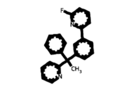 CC(c1ccccc1)(c1cccc(-c2cccc(F)n2)c1)c1ccccn1